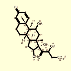 C[C@]12C=CC(=O)C=C1CC[C@@H]1[C@@H]2C(O)C[C@@]2(C)[C@H]1CC(O)[C@]2(O)C(=O)C(O)CC(=O)O